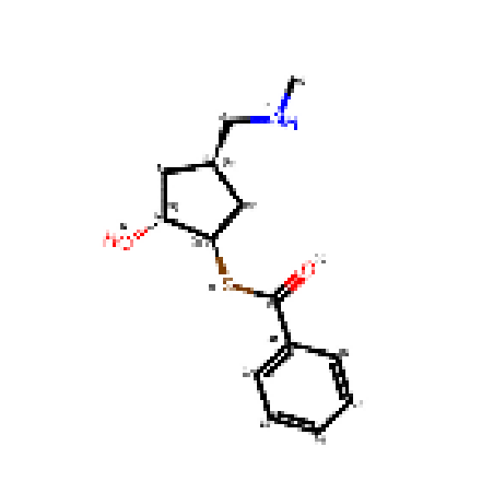 CNC[C@@H]1C[C@@H](O)[C@H](SC(=O)c2ccccc2)C1